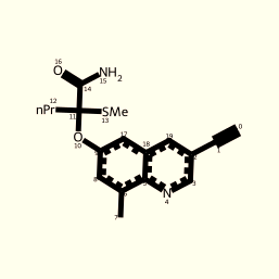 C#Cc1cnc2c(C)cc(OC(CCC)(SC)C(N)=O)cc2c1